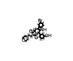 CC12Cc3c([nH]c4ccc(Br)cc34)C(c3cccc(O)c3)N1C(=O)N(CCN1CCOCC1)C2=O